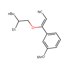 CCCCC(CC)COC(=[C]C#N)c1cc[c]c(OC)c1